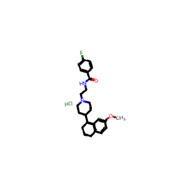 COc1ccc2c(c1)C(C1CCN(CCNC(=O)c3ccc(F)cc3)CC1)CCC2.Cl